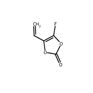 C=Cc1oc(=O)oc1F